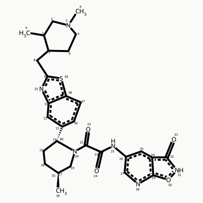 CC1CN(C)CCC1Cc1nc2cc([C@H]3CC[C@H](C)CN3C(=O)C(=O)Nc3cnc4o[nH]c(=O)c4c3)ccc2s1